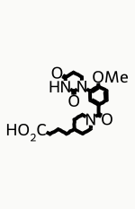 COc1ccc(C(=O)N2CCC(CCCC(=O)O)CC2)cc1N1CCC(=O)NC1=O